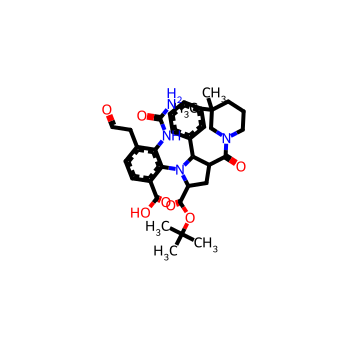 CC1(C)CCCN(C(=O)C2CC(C(=O)OC(C)(C)C)N(c3c(C(=O)O)ccc(CC=O)c3NC(N)=O)C2c2ccccc2)C1